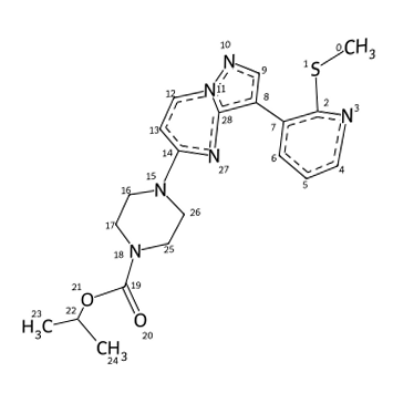 CSc1ncccc1-c1cnn2ccc(N3CCN(C(=O)OC(C)C)CC3)nc12